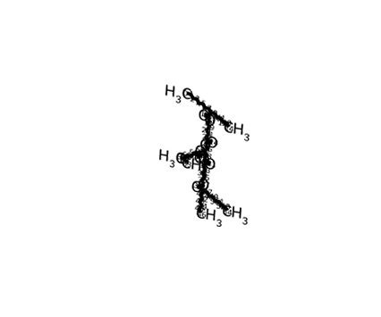 CCCCCCCCC(CCCCCC)C(=O)OCCCCCC(=O)OCC(COC(=O)CCCCCOC(=O)C(CCCCCC)CCCCCCCC)OC(=O)CCCN(C)C